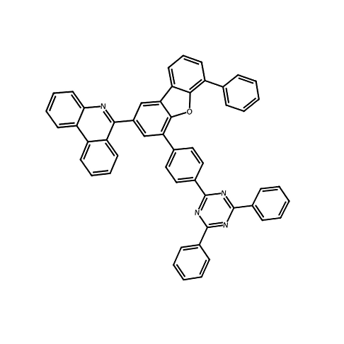 c1ccc(-c2nc(-c3ccccc3)nc(-c3ccc(-c4cc(-c5nc6ccccc6c6ccccc56)cc5c4oc4c(-c6ccccc6)cccc45)cc3)n2)cc1